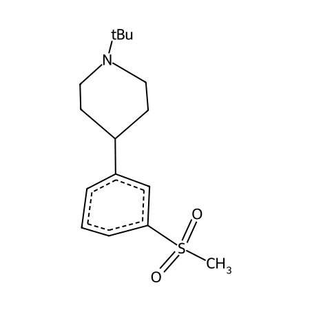 CC(C)(C)N1CCC(c2cccc(S(C)(=O)=O)c2)CC1